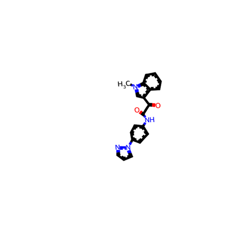 Cn1cc(C(=O)C(=O)Nc2ccc(-n3cccn3)cc2)c2ccccc21